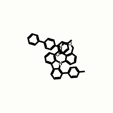 Cc1ccc(-c2cccc3c4cccc(-c5ccc(C)cc5)c4n(-c4cccc5c4C(=O)N(c4ccc(-c6ccccc6)cc4)COC5)c23)cc1